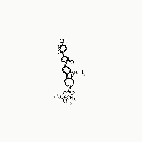 Cc1ccc(-c2ccn(-c3ccc4c5c(n(C)c4c3)CCN(C(=O)OC(C)(C)C)CC5)c(=O)c2)nn1